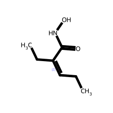 CC/C=C(/CC)C(=O)NO